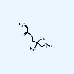 C=CC(=O)OCC(C)(C)CNC